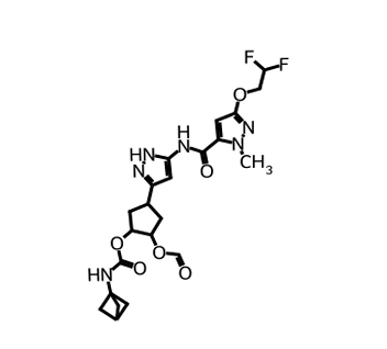 Cn1nc(OCC(F)F)cc1C(=O)Nc1cc(C2CC(OC=O)C(OC(=O)NC34CC(C3)C4)C2)n[nH]1